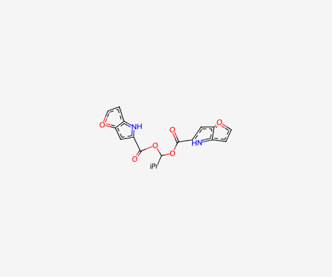 CC(C)C(OC(=O)c1cc2occc2[nH]1)OC(=O)c1cc2occc2[nH]1